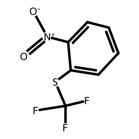 O=[N+]([O-])c1ccccc1SC(F)(F)F